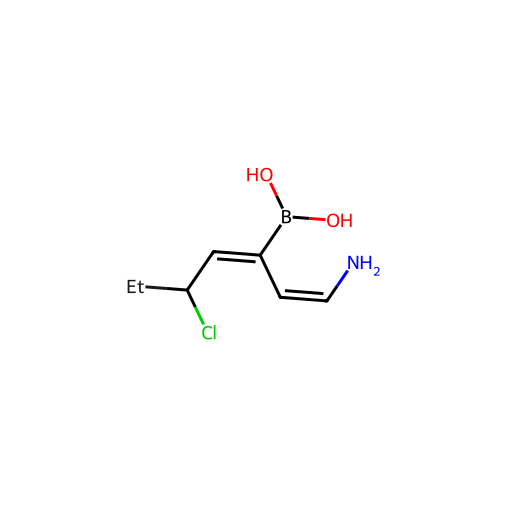 CCC(Cl)/C=C(\C=C/N)B(O)O